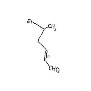 CCC(C)C/C=C/C=O